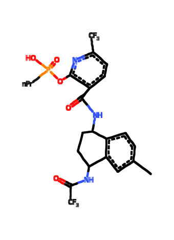 CCCP(=O)(O)Oc1nc(C(F)(F)F)ccc1C(=O)NC1CCC(NC(=O)C(F)(F)F)c2cc(C)ccc21